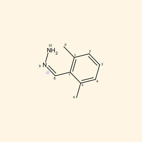 Cc1cccc(C)c1/C=N\N